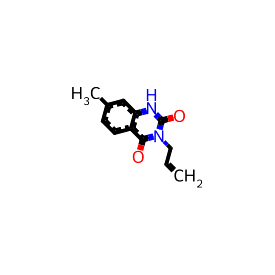 C=CCn1c(=O)[nH]c2cc(C)ccc2c1=O